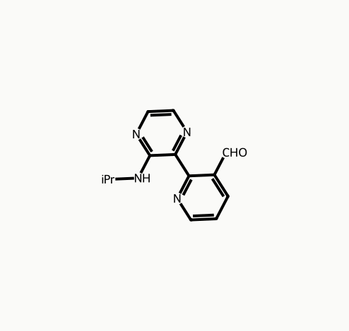 CC(C)Nc1nccnc1-c1ncccc1C=O